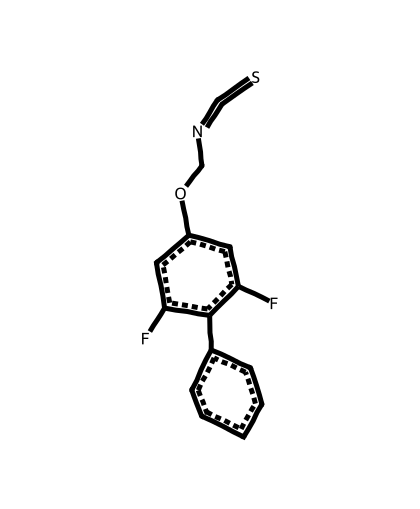 Fc1cc(OCN=C=S)cc(F)c1-c1ccccc1